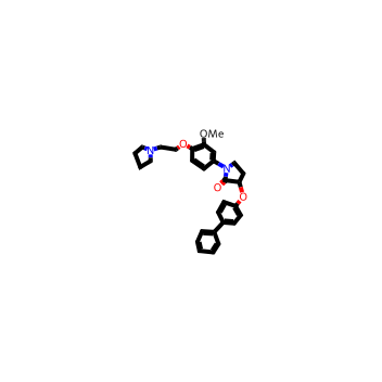 COc1cc(N2CCC(Oc3ccc(-c4ccccc4)cc3)C2=O)ccc1OCCN1CCCC1